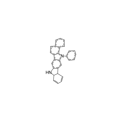 C1=CC2Nc3cc4c5ccc6ccccc6c5n(-c5ccccc5)c4cc3C2C=C1